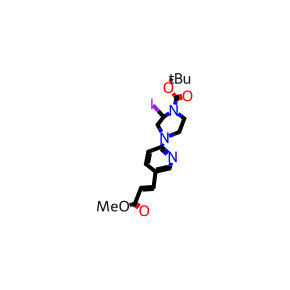 COC(=O)C=Cc1ccc(N2CCN(C(=O)OC(C)(C)C)C(I)C2)nc1